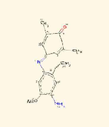 COc1cc(N=C2C=C(C)C(=O)C(C)=C2)c(C)cc1N